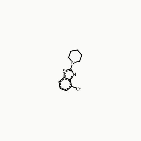 [O]c1cccc2sc(N3CCCCC3)nc12